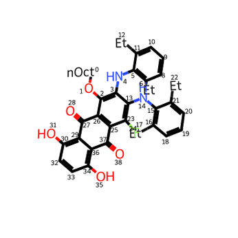 CCCCCCCCOc1c(Nc2c(CC)cccc2CC)c(Nc2c(CC)cccc2CC)c(F)c2c1C(=O)c1c(O)ccc(O)c1C2=O